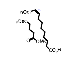 CCCCCCCC/C=C\CCCCCCCC(=O)O.CCCCCCCCCCCCCC(=O)OC